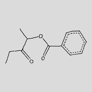 CCC(=O)C(C)OC(=O)c1ccccc1